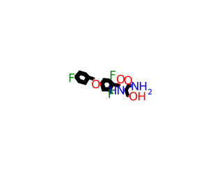 NC(=O)C(CO)NC(=O)c1c(F)cc(OCc2ccc(F)cc2)cc1F